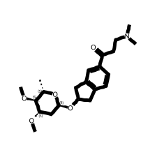 CO[C@H]1[C@H](C)O[C@@H](OC2Cc3ccc(C(=O)CCN(C)C)cc3C2)C[C@@H]1OC